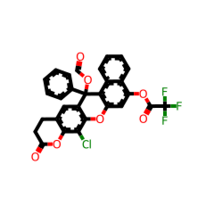 O=COC1(c2ccccc2)c2cc3c(c(Cl)c2Oc2cc(OC(=O)C(F)(F)F)c4ccccc4c21)OC(=O)CC3